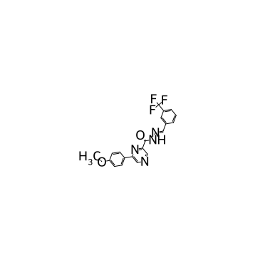 COc1ccc(-c2cncc(C(=O)N/N=C/c3cccc(C(F)(F)F)c3)n2)cc1